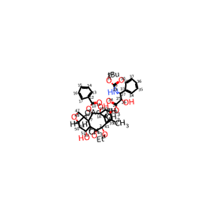 CCO[C@H]1C(=O)[C@@]2(C)[C@H]([C@H](OC(=O)c3ccccc3)[C@]3(O)C[C@H](OC(=O)[C@H](O)C(NC(=O)OC(C)(C)C)c4ccccc4)C(C)=C1C3(C)C)[C@]1(OC(C)=O)CO[C@@H]1C[C@@H]2O